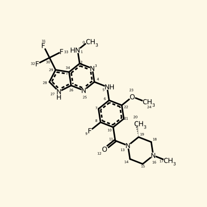 CNc1nc(Nc2cc(F)c(C(=O)N3CCN(C)C[C@H]3C)cc2OC)nc2[nH]cc(C(F)(F)F)c12